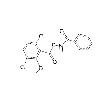 COc1c(Cl)ccc(Cl)c1C(=O)ONC(=O)c1ccccc1